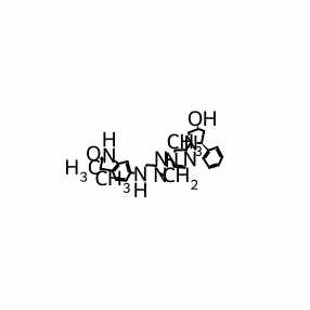 C=N/C(CNc1ccc2c(c1)NC(=O)C2(C)C)=N\N1C=CN=C(N2C[C@H](O)C[C@H]2c2ccccc2)C1C